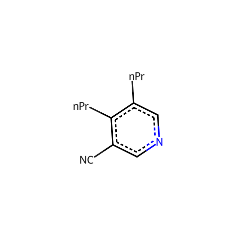 CCCc1cncc(C#N)c1CCC